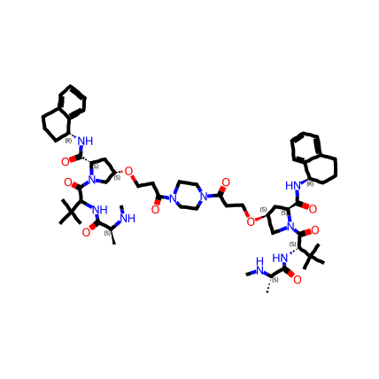 CN[C@@H](C)C(=O)NC(C(=O)N1C[C@@H](OCCC(=O)N2CCN(C(=O)CCO[C@H]3C[C@@H](C(=O)N[C@@H]4CCCc5ccccc54)N(C(=O)[C@@H](NC(=O)[C@H](C)NC)C(C)(C)C)C3)CC2)C[C@H]1C(=O)N[C@@H]1CCCc2ccccc21)C(C)(C)C